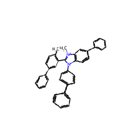 Cc1ccc(-c2ccccc2)cc1-c1n(-c2ccc(-c3ccccc3)cc2)c2ccc(-c3ccccc3)cc2[n+]1C